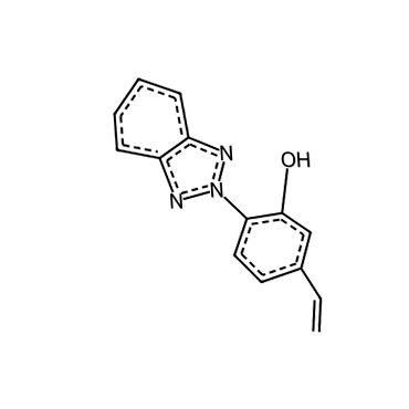 C=Cc1ccc(-n2nc3ccccc3n2)c(O)c1